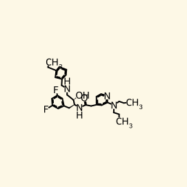 CCCN(CCC)c1cc(CC(=O)N[C@@H](Cc2cc(F)cc(F)c2)[C@@H](O)CNCc2cccc(CC)c2)ccn1